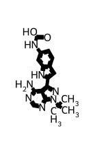 CC(C)(C)n1nc(-c2cc3ccc(NC(=O)O)cc3[nH]2)c2c(N)ncnc21